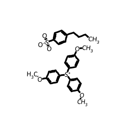 CCCCc1ccc(S(=O)(=O)[O-])cc1.COc1ccc([S+](c2ccc(OC)cc2)c2ccc(OC)cc2)cc1